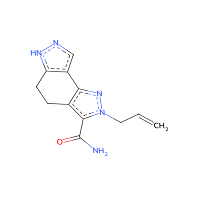 C=CCn1nc2c(c1C(N)=O)CCc1[nH]ncc1-2